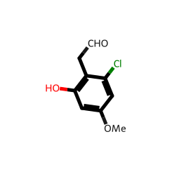 COc1cc(O)c(CC=O)c(Cl)c1